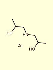 CC(O)CNCC(C)O.[Zn]